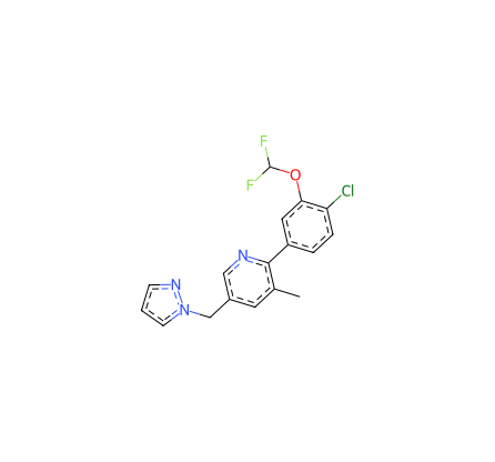 Cc1cc(Cn2cccn2)cnc1-c1ccc(Cl)c(OC(F)F)c1